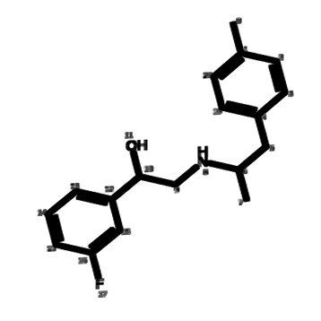 Cc1ccc(CC(C)NCC(O)c2cccc(F)c2)cc1